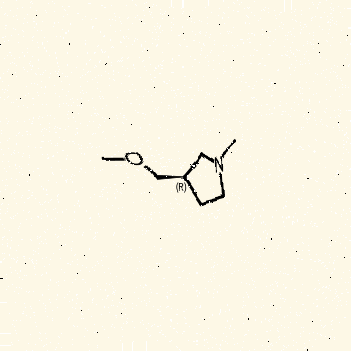 COC[C@@H]1CCN(C)C1